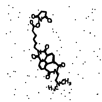 CN(C)CCN1C(=O)c2ccc3c4c(ccc(c24)C1=O)C(=O)N(CCCCCC(=O)ON1C(=O)CCC1=O)C3=O